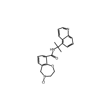 CC(C)(NC(=O)c1cccc2c1OCCN(Cl)C2)c1cccc2ncccc12